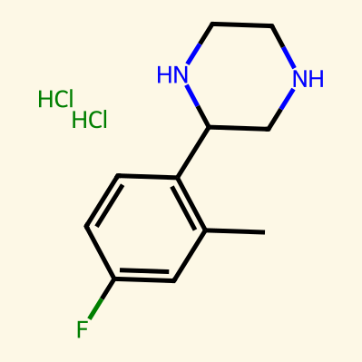 Cc1cc(F)ccc1C1CNCCN1.Cl.Cl